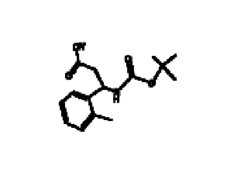 Cc1ccccc1C(CC(=O)O)NC(=O)OC(C)(C)C